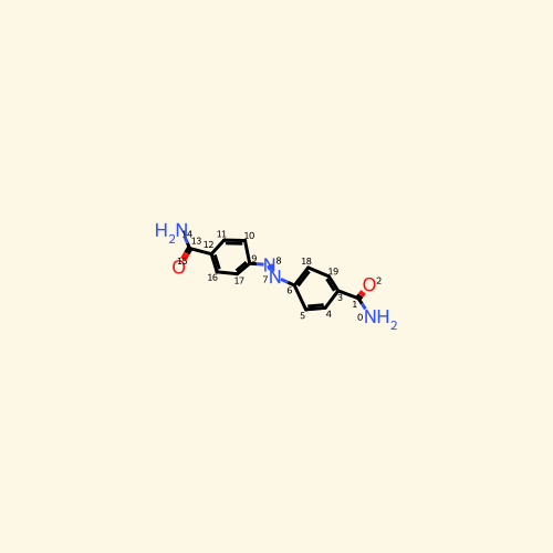 NC(=O)c1ccc(/N=N/c2ccc(C(N)=O)cc2)cc1